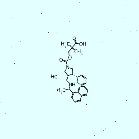 C[C@@H](NC[C@H]1CN(C(=O)OCC(C)(C)C(=O)O)C[C@@H]1c1ccccc1)c1cccc2ccccc12.Cl